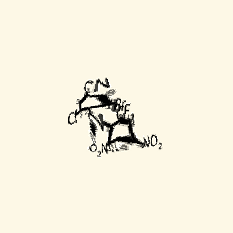 CN(c1c(Cl)cc(C#N)cc1Br)c1c([N+](=O)[O-])cc([N+](=O)[O-])cc1C(F)(F)F